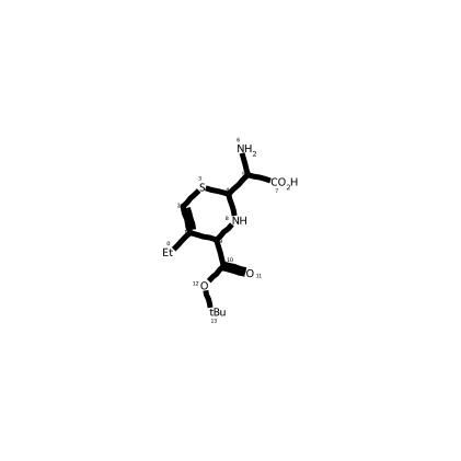 CCC1=CSC(C(N)C(=O)O)NC1C(=O)OC(C)(C)C